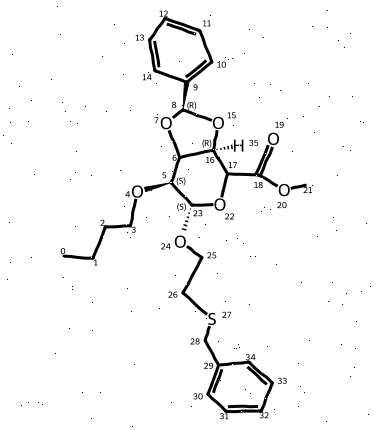 CCCCO[C@H]1C2O[C@@H](c3ccccc3)O[C@H]2C(C(=O)OC)O[C@@H]1OCCSCc1ccccc1